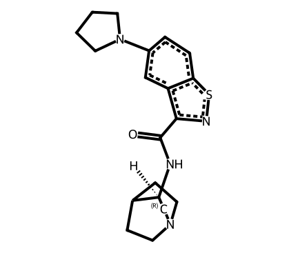 O=C(N[C@H]1CN2CCC1CC2)c1nsc2ccc(N3CCCC3)cc12